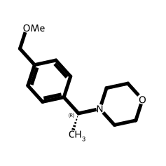 COCc1ccc([C@@H](C)N2CCOCC2)cc1